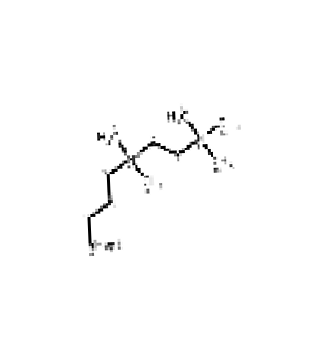 CCCCCCCCCC[N+](C)(C)CC[N+](C)(C)C